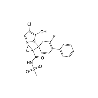 CS(=O)(=O)NC(=O)C1(C2(n3ncc(Cl)c3O)C=CC(c3ccccc3)=C(F)C2)CC1